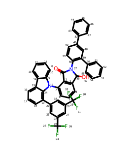 O=C1c2c(cccc2-n2c3ccccc3c3cccc(-c4cc(C(F)(F)F)cc(C(F)(F)F)c4)c32)C(O)N1c1ccc(-c2ccccc2)cc1-c1ccccc1